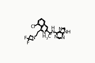 C[C@H](Nc1ncnc2[nH]cnc12)c1cc2cccc(Cl)c2c(CCN2CC(F)(F)C2)n1